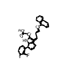 O=C(O)Oc1[nH]c2c(-c3cccc(F)c3F)cccc2c1CCCOc1cccc2ccccc12